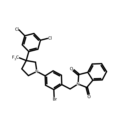 O=C1c2ccccc2C(=O)N1Cc1ccc(N2CCC(c3cc(Cl)cc(Cl)c3)(C(F)(F)F)C2)cc1Br